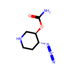 [N-]=[N+]=N[C@@H]1CCNC[C@H]1OC(N)=O